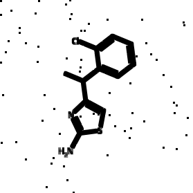 CC(c1csc(N)n1)c1ccccc1Cl